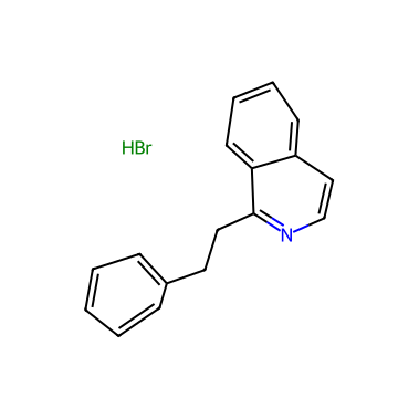 Br.c1ccc(CCc2nccc3ccccc23)cc1